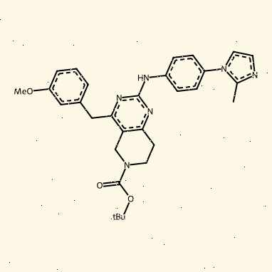 COc1cccc(Cc2nc(Nc3ccc(-n4ccnc4C)cc3)nc3c2CN(C(=O)OC(C)(C)C)CC3)c1